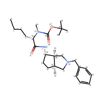 CCCC[C@@H](C(=O)N[C@H]1CC[C@@H]2CN(Cc3ccccc3)C[C@@H]21)N(C)C(=O)OC(C)(C)C